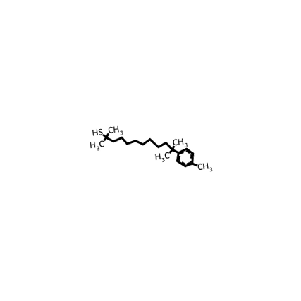 Cc1ccc(C(C)(C)CCCCCCCCC(C)(C)S)cc1